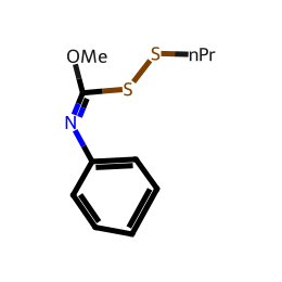 CCCSSC(=Nc1ccccc1)OC